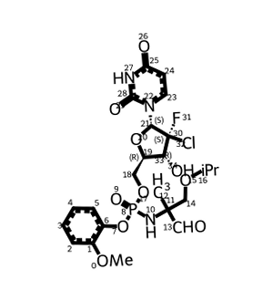 COc1ccccc1OP(=O)(NC(C)(C=O)COC(C)C)OC[C@H]1O[C@H](n2ccc(=O)[nH]c2=O)[C@@](F)(Cl)[C@@H]1O